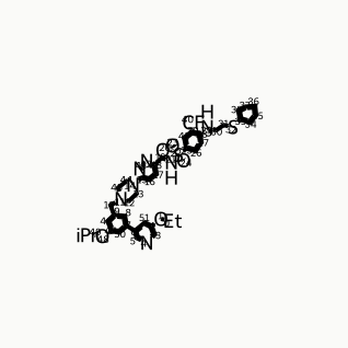 CCOc1cncc(-c2cc(CN3CCN(c4ccc(C(=O)NS(=O)(=O)c5ccc(NCCSc6ccccc6)c(C(F)(F)F)c5)nn4)CC3)cc(OC(C)C)c2)c1